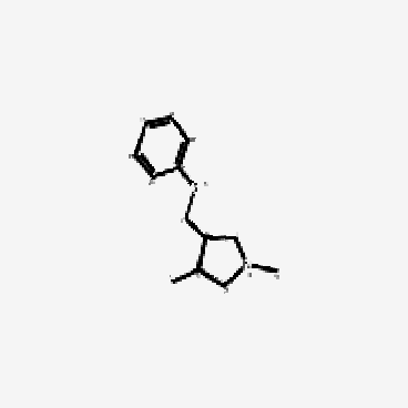 CC1CN(C)CC1CSc1ccccc1